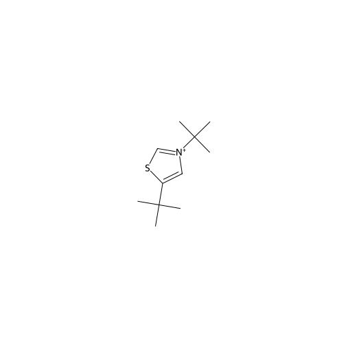 CC(C)(C)c1c[n+](C(C)(C)C)cs1